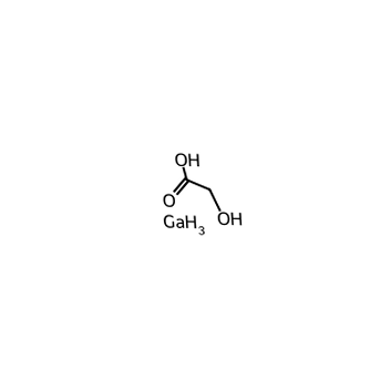 O=C(O)CO.[GaH3]